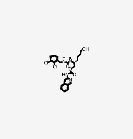 CN(C(=O)NCc1cccc(Cl)c1Cl)[C@@H](CCCCO)COC(=O)Nc1cc2ccccc2cn1